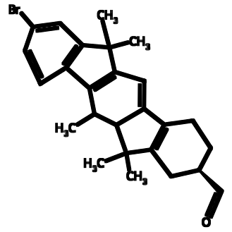 CC1C2=C(C=C3C4=C(C[C@H](C=O)CC4)C(C)(C)C31)C(C)(C)c1cc(Br)ccc12